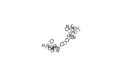 CN(C)[C@@H](C(=O)N1CCC[C@H]1c1ncc(-c2ccc3c(c2)Cc2cc(-c4cnc([C@@H]5CCCN5C(=O)[C@@H](c5ccccc5)N(C)C)[nH]4)ccc2-3)[nH]1)c1ccccc1